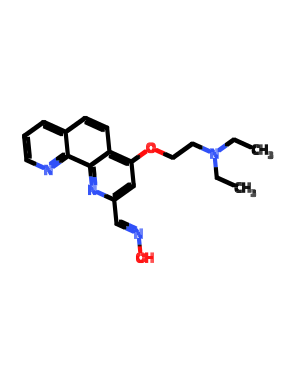 CCN(CC)CCOc1cc(/C=N/O)nc2c1ccc1cccnc12